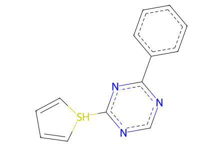 C1=C[SH](c2ncnc(-c3ccccc3)n2)C=C1